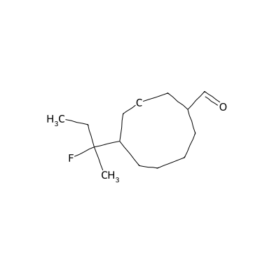 CCC(C)(F)C1CCCCC(C=O)CCC1